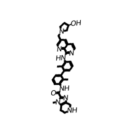 Cc1c(NC(=O)c2nc3c(n2C)CCNC3)cccc1-c1cccc(Nc2nccc3cc(CN4CC[C@@H](O)C4)cnc23)c1C